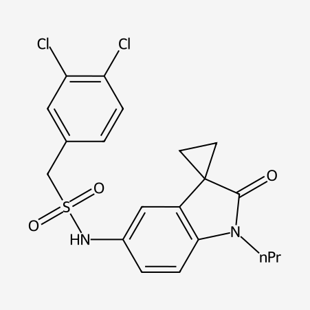 CCCN1C(=O)C2(CC2)c2cc(NS(=O)(=O)Cc3ccc(Cl)c(Cl)c3)ccc21